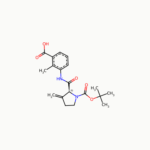 C=C1CCN(C(=O)OC(C)(C)C)[C@@H]1C(=O)Nc1cccc(C(=O)O)c1C